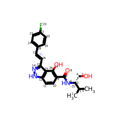 CC(C)[C@@H](CO)NC(=O)c1ccc2[nH]nc(/C=C/c3ccc(F)cc3)c2c1O